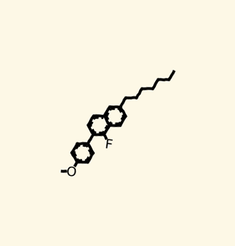 CCCCCCCc1ccc2c(F)c(-c3ccc(OC)cc3)ccc2c1